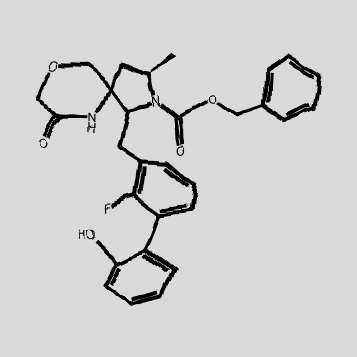 C[C@@H]1CC2(COCC(=O)N2)C(Cc2cccc(-c3ccccc3O)c2F)N1C(=O)OCc1ccccc1